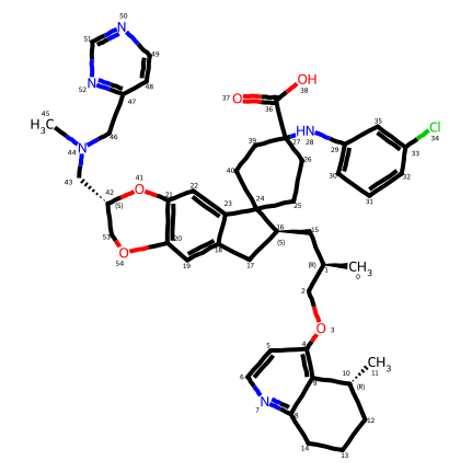 C[C@@H](COc1ccnc2c1[C@H](C)CCC2)C[C@H]1Cc2cc3c(cc2C12CCC(Nc1cccc(Cl)c1)(C(=O)O)CC2)O[C@@H](CN(C)Cc1ccncn1)CO3